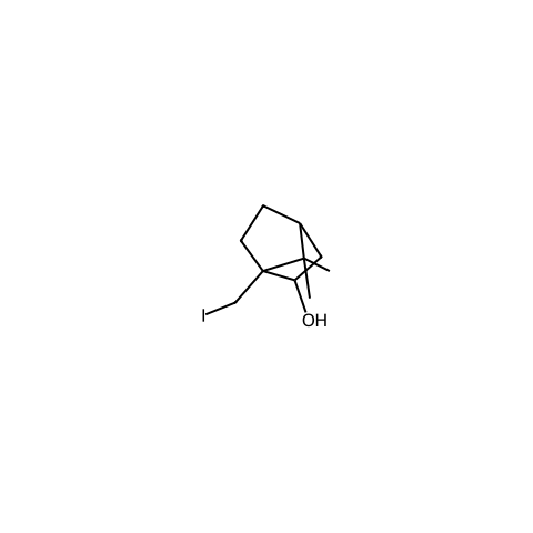 CC1(C)C2CCC1(CI)C(O)C2